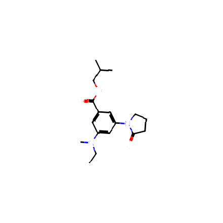 CCN(C)c1cc(C(=O)OCC(C)C)cc(N2CCCC2=O)c1